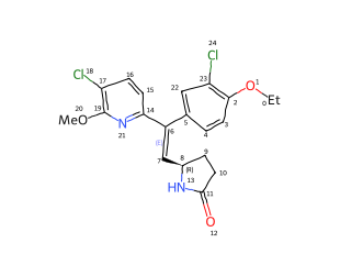 CCOc1ccc(/C(=C\[C@H]2CCC(=O)N2)c2ccc(Cl)c(OC)n2)cc1Cl